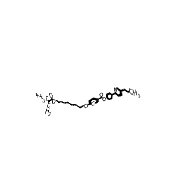 C=C(C)C(=O)OCCCCCCCCCOc1ccc(C(=O)Oc2ccc(-c3ccc(CCC)cn3)cc2)cc1